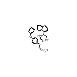 CC(C)CC(NC(=O)c1cc(Oc2ccccc2)ccc1CCC(=O)O)c1cccc2ccccc12